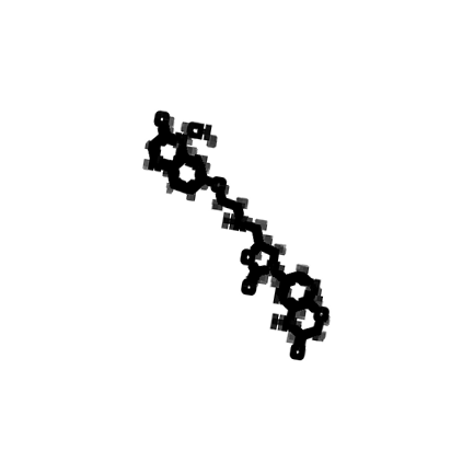 Cn1c(=O)cnc2ccc(OCCNCC3CN(c4cnc5c(n4)NC(=O)CO5)C(=O)O3)nc21